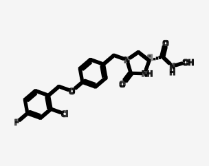 O=C(NO)[C@H]1CN(Cc2ccc(OCc3ccc(F)cc3Cl)cc2)C(=O)N1